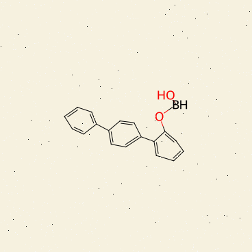 OBOc1ccccc1-c1ccc(-c2ccccc2)cc1